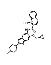 CC1CCC(n2cc3cc(NC(=O)c4ccc5ccccc5[n+]4O)c(OCC4CC4)cc3n2)CC1